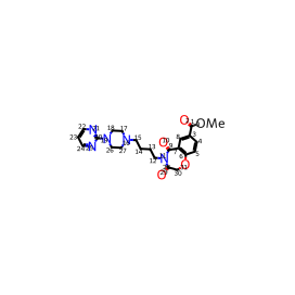 COC(=O)c1ccc2c(c1)C(=O)N(CCCCN1CCN(c3ncccn3)CC1)C(=O)CO2